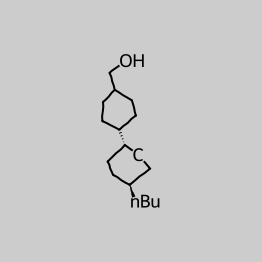 CCCC[C@H]1CC[C@H](C2CCC(CO)CC2)CC1